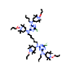 CCCCN(c1nc(Cl)nc(N(CCCCCCN(c2nc(Cl)nc(N(CCCC)C3CC(C)(C)N(OCCC)C(C)(C)C3)n2)C2CC(C)(C)N(OCCC)C(C)(C)C2)C2CC(C)(C)N(OCCC)C(C)(C)C2)n1)C1CC(C)(C)N(OCCC)C(C)(C)C1